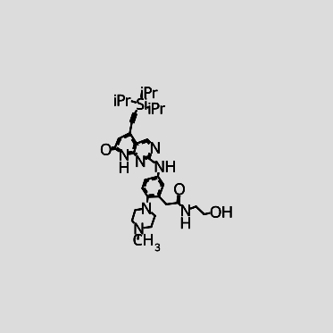 CC(C)[Si](C#Cc1cc(=O)[nH]c2nc(Nc3ccc(N4CCN(C)CC4)c(CC(=O)NCCO)c3)ncc12)(C(C)C)C(C)C